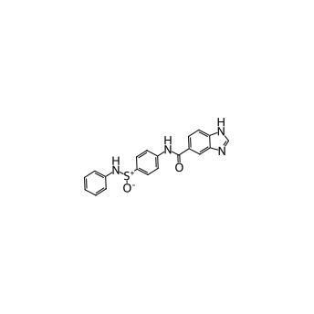 O=C(Nc1ccc([S+]([O-])Nc2ccccc2)cc1)c1ccc2[nH]cnc2c1